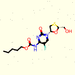 CCCCCOC(=O)Nc1nc(=O)n([C@@H]2CS[C@H](CO)O2)cc1F